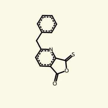 O=C1OC(=S)c2nc(Cc3ccccc3)ccc21